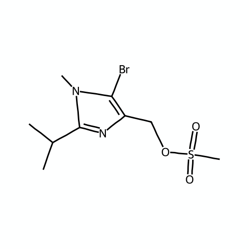 CC(C)c1nc(COS(C)(=O)=O)c(Br)n1C